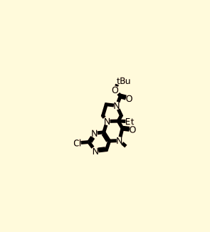 CCC12CN(C(=O)OC(C)(C)C)CCN1c1nc(Cl)ncc1N(C)C2=O